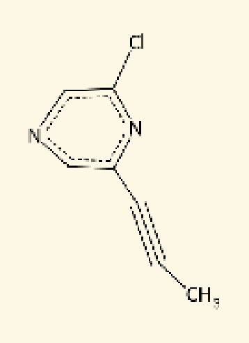 CC#Cc1cncc(Cl)n1